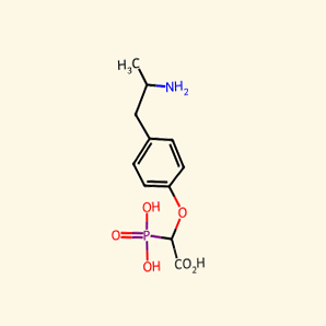 CC(N)Cc1ccc(OC(C(=O)O)P(=O)(O)O)cc1